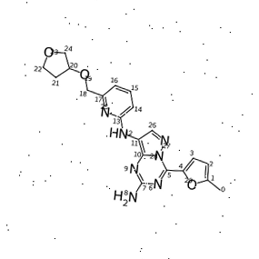 Cc1ccc(-c2nc(N)nc3c(Nc4cccc(COC5CCOC5)n4)cnn23)o1